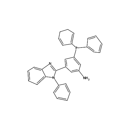 Nc1cc(-c2nc3ccccc3n2-c2ccccc2)cc(P(C2=CCCC=C2)c2ccccc2)c1